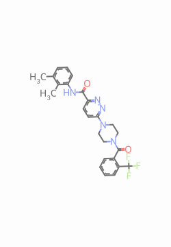 Cc1cccc(NC(=O)c2ccc(N3CCN(C(=O)c4ccccc4C(F)(F)F)CC3)nn2)c1C